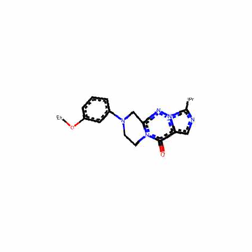 CCOc1cccc(N2CCn3c(nn4c(C(C)C)ncc4c3=O)C2)c1